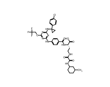 CC1CCCC(NC(=O)C(=O)NCC[C@H](NC(=O)c2ccc(Nc3nc(NC4(c5ccc(Cl)cc5)CC4)nc(OCC(F)(F)F)n3)cc2)C(=O)O)C1